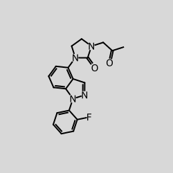 CC(=O)CN1CCN(c2cccc3c2cnn3-c2ccccc2F)C1=O